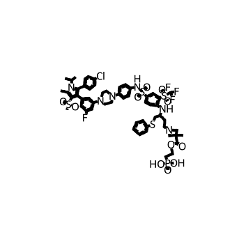 Cc1c(S(C)(=O)=O)c(-c2cc(F)cc(N3CCN(c4ccc(NS(=O)(=O)c5ccc(NC(CCN6CC(C)(C(=O)OCCP(=O)(O)O)C6)CSc6ccccc6)c(S(=O)(=O)C(F)(F)F)c5)cc4)CC3)c2)c(-c2ccc(Cl)cc2)n1C(C)C